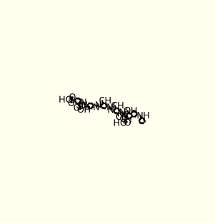 Cc1cc(N=Nc2cc(C)c(N=Nc3c(S(=O)(=O)O)cc4cc(Nc5ccccc5)ccc4c3O)cc2C)ccc1N=Nc1ccc(N=Nc2ccc(S(=O)(=O)O)cc2S(=O)(=O)O)cc1